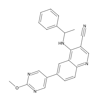 COc1ncc(-c2ccc3ncc(C#N)c(NC(C)c4ccccc4)c3c2)cn1